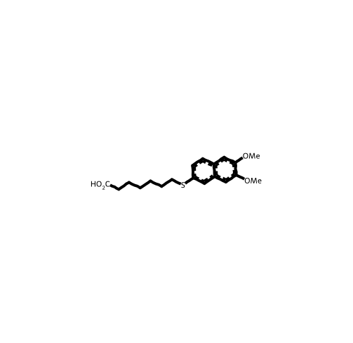 COc1cc2ccc(SCCCCCCC(=O)O)cc2cc1OC